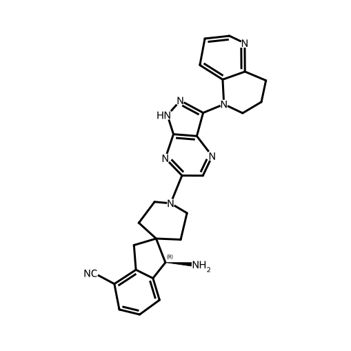 N#Cc1cccc2c1CC1(CCN(c3cnc4c(N5CCCc6ncccc65)n[nH]c4n3)CC1)[C@H]2N